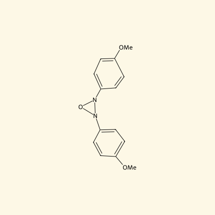 COc1ccc(-n2on2-c2ccc(OC)cc2)cc1